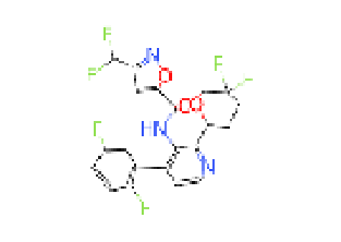 O=C(Nc1c(-c2cc(F)ccc2F)ccnc1C1CCC(F)(F)CO1)c1cc(C(F)F)no1